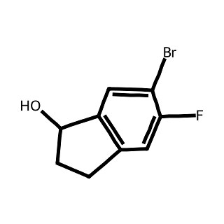 OC1CCc2cc(F)c(Br)cc21